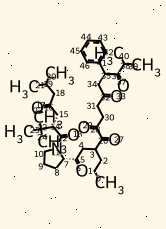 CCCC(CC(=O)[C@@H]1CCCN1C(=O)[C@@H](CC(=O)CC(C)C)C(C)(C)C)C(=O)C(=O)CCC(=O)C[C@H](C(=O)C(C)C)c1ccccc1